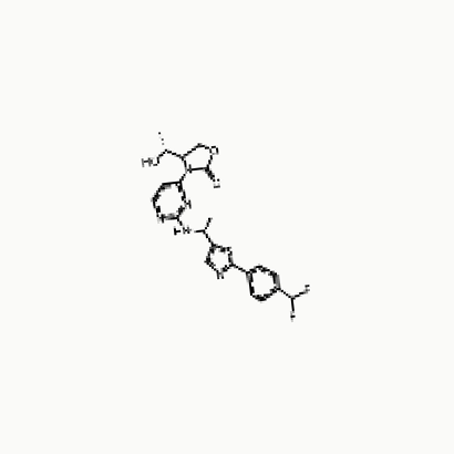 C[C@H](Nc1nccc(N2C(=O)OCC2[C@@H](C)O)n1)c1cnc(-c2ccc(C(F)F)cc2)s1